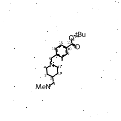 CNCC1CCN(Cc2ccc(C(=O)OC(C)(C)C)cc2)CC1